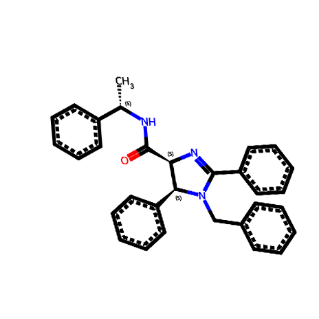 C[C@H](NC(=O)[C@H]1N=C(c2ccccc2)N(Cc2ccccc2)[C@H]1c1ccccc1)c1ccccc1